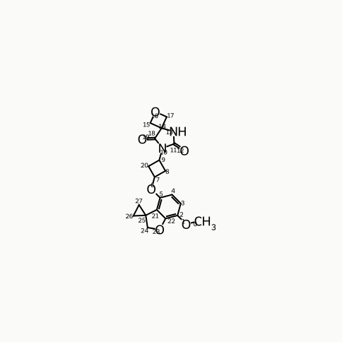 COc1ccc(OC2CC(N3C(=O)NC4(COC4)C3=O)C2)c2c1OCC21CC1